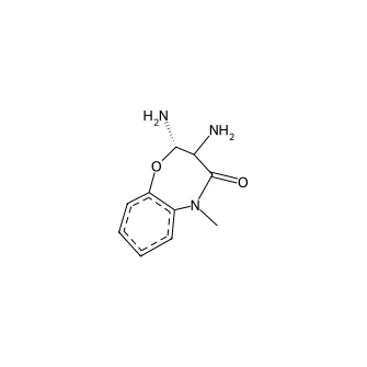 CN1C(=O)C(N)[C@@H](N)Oc2ccccc21